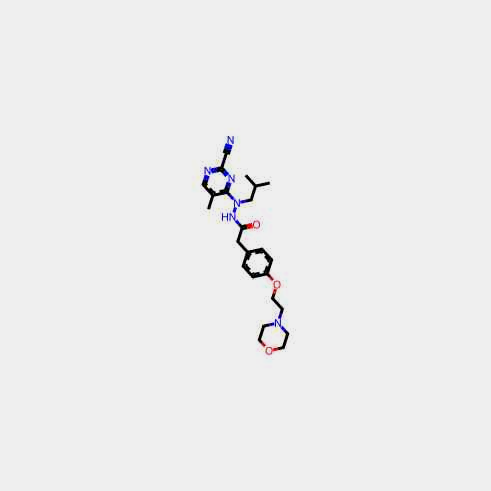 Cc1cnc(C#N)nc1N(CC(C)C)NC(=O)Cc1ccc(OCCN2CCOCC2)cc1